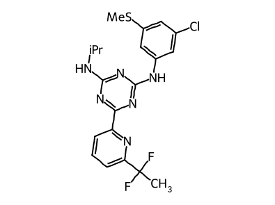 CSc1cc(Cl)cc(Nc2nc(NC(C)C)nc(-c3cccc(C(C)(F)F)n3)n2)c1